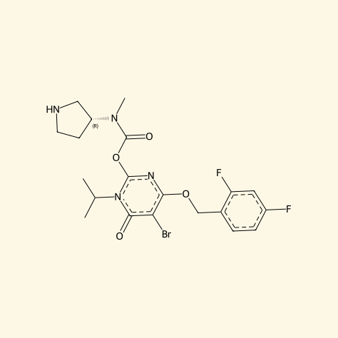 CC(C)n1c(OC(=O)N(C)[C@@H]2CCNC2)nc(OCc2ccc(F)cc2F)c(Br)c1=O